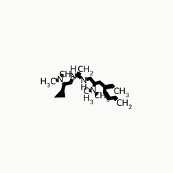 C=C/C=C\C(=C/C)CC(CNC(=C)NCC(C1=CC1)N(C)C)N(C)C